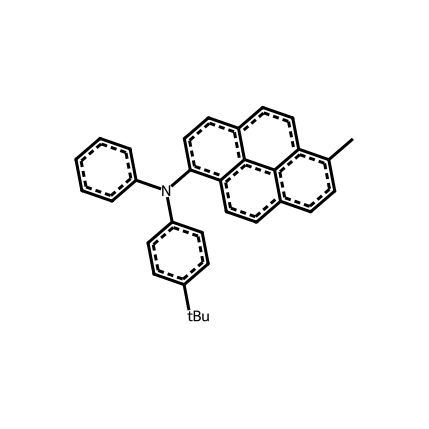 Cc1ccc2ccc3c(N(c4ccccc4)c4ccc(C(C)(C)C)cc4)ccc4ccc1c2c43